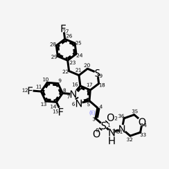 O=S(=O)(/C=C/c1nn(-c2ccc(F)cc2F)c2c1CSCC2Cc1ccc(F)cc1)NN1CCOCC1